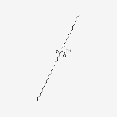 CCCCCCCCCCCCCCCCCCCCCC(=O)C(CCCCCCCCCCCCCCCC)C(=O)O